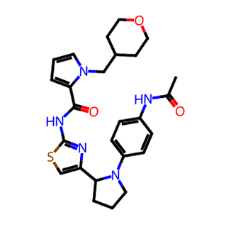 CC(=O)Nc1ccc(N2CCCC2c2csc(NC(=O)c3cccn3CC3CCOCC3)n2)cc1